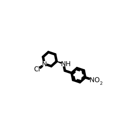 O=[N+]([O-])c1ccc(CN[C@@H]2CCCN(Cl)C2)cc1